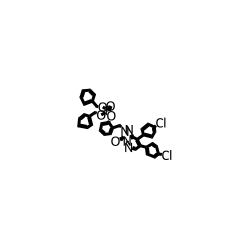 O=c1n(Cc2ccccc2OP(=O)(OCc2ccccc2)OCc2ccccc2)nc2c(-c3ccc(Cl)cc3)c(-c3ccc(Cl)cc3)cnn12